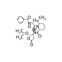 CC(=O)[C@H]1CCC[C@@H](C(=O)N[C@H]2CC(=O)O[C@@H]2OC(C)C)N1C(=O)CNC(=O)c1ccccc1